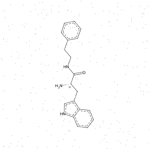 N[C@@H](Cc1c[nH]c2ccccc12)C(=O)NCCc1ccccc1